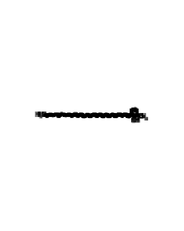 CCCCCCCCCCCCCCCCCCCCCCCCCCCCc1cccc(C)c1O